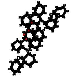 C1=CCC(c2ccccc2)C(N(c2ccc3ccc4c(N(c5ccccc5-c5ccccc5)c5cccc6c7c(oc56)C=CCC7)ccc5ccc2c3c54)C2CC=Cc3c2oc2ccccc32)=C1